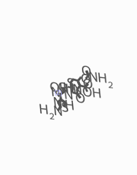 NC(=O)OCC1=C(C(=O)O)N2C(=O)C(NC(=O)/C(=N\O)c3csc(N)n3)[C@@H]2SC1